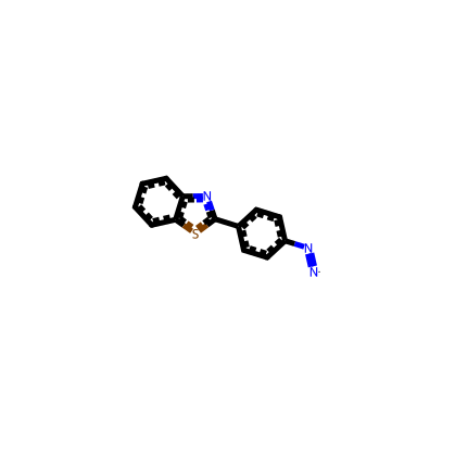 [N]=Nc1ccc(-c2nc3ccccc3s2)cc1